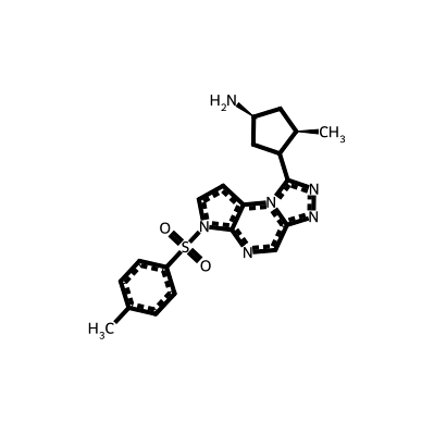 Cc1ccc(S(=O)(=O)n2ccc3c2ncc2nnc(C4C[C@@H](N)C[C@H]4C)n23)cc1